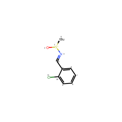 CC(C)(C)[S@+]([O-])/N=C/c1ccccc1Cl